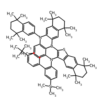 Cc1cc2c3c(c1)N(c1ccc([Si](C)(C)C)cc1-c1ccc(C(C)(C)C)cc1)c1c(sc4cc5c(cc14)C(C)(C)CCC5(C)C)B3c1cc3c(cc1N2c1ccc2c(c1)C(C)(C)CCC2(C)C)C(C)(C)CCC3(C)C